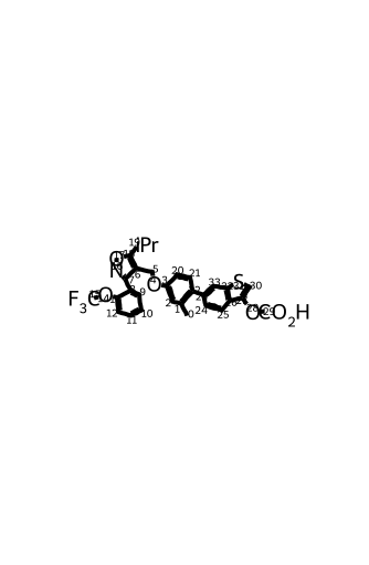 Cc1cc(OCc2c(-c3ccccc3OC(F)(F)F)noc2C(C)C)ccc1-c1ccc2c(OC(=O)O)csc2c1